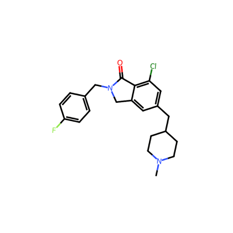 CN1CCC(Cc2cc(Cl)c3c(c2)CN(Cc2ccc(F)cc2)C3=O)CC1